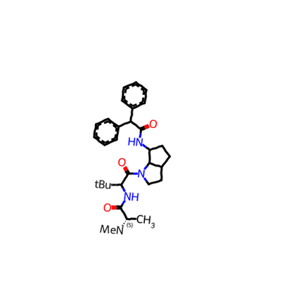 CN[C@@H](C)C(=O)NC(C(=O)N1CCC2CCC(NC(=O)C(c3ccccc3)c3ccccc3)C21)C(C)(C)C